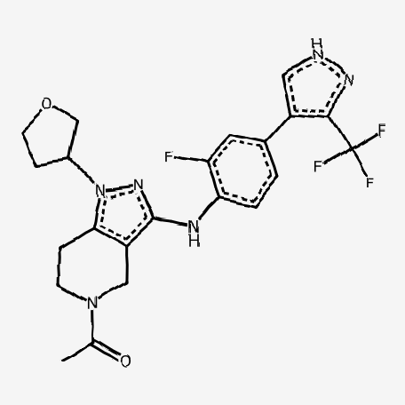 CC(=O)N1CCc2c(c(Nc3ccc(-c4c[nH]nc4C(F)(F)F)cc3F)nn2C2CCOC2)C1